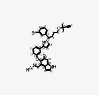 C#CC(C)(C)OCCCC(c1cccc(Br)c1)n1ccc(-c2cccc(Oc3c(F)cc4[nH]ccc4c3CN=[N+]=[N-])c2)n1